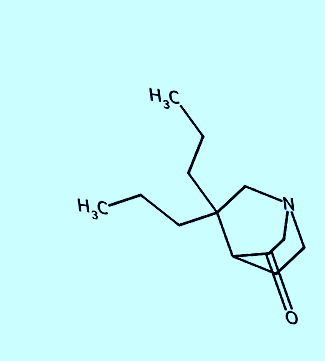 CCCC1(CCC)CN2CCC1C(=O)C2